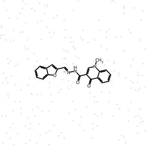 Cn1cc(C(=O)N/N=C/c2cc3ccccc3o2)c(=O)c2ccccc21